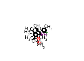 CCCCCC(C)(Pc1ccc(C)cc1F)c1cc(C(C)(C)C)cc(C(C)(C)C)c1OCOC